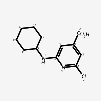 O=C(O)c1cc(Cl)nc(NC2CCCCC2)c1